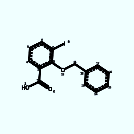 O=C(O)c1cccc(I)c1OCc1ccccc1